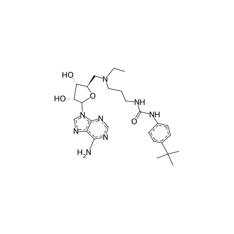 CCN(CCCNC(=O)Nc1ccc(C(C)(C)C)cc1)C[C@H]1OC(n2cnc3c(N)ncnc32)[C@H](O)[C@@H]1O